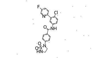 O=C(Nc1ccc(Cl)c(-c2ccc(F)cn2)c1)c1ccc(N2CCNS2(=O)=O)cc1